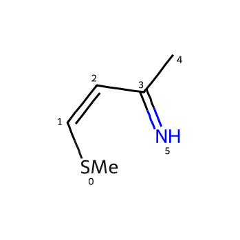 CS/C=C\C(C)=N